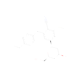 CCc1ccc(Cc2cc([C@@H]3O[C@H](CO)[C@@H](O)[C@H](O)[C@H]3O)cc(SC)c2C#N)cc1